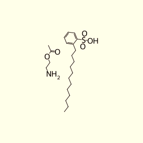 CC(=O)OCCN.CCCCCCCCCCCCc1ccccc1S(=O)(=O)O